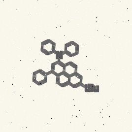 CC(C)(C)c1cc2ccc3c(-c4ccccc4)cc(N(c4ccccc4)c4ccccc4)c4ccc(c1)c2c34